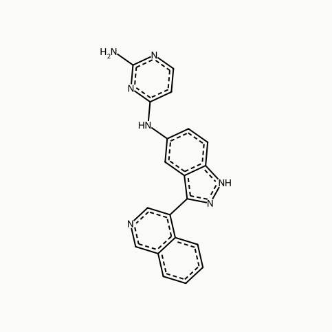 Nc1nccc(Nc2ccc3[nH]nc(-c4cncc5ccccc45)c3c2)n1